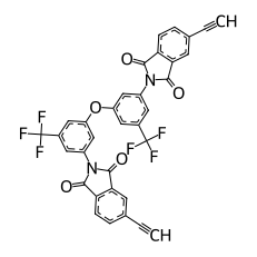 C#Cc1ccc2c(c1)C(=O)N(c1cc(Oc3cc(N4C(=O)c5ccc(C#C)cc5C4=O)cc(C(F)(F)F)c3)cc(C(F)(F)F)c1)C2=O